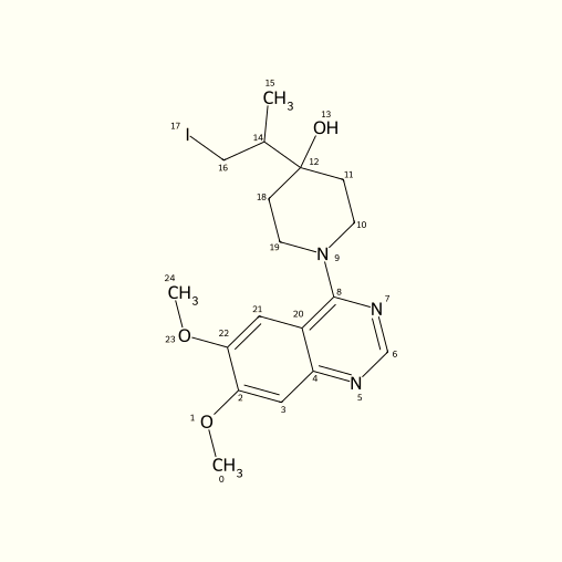 COc1cc2ncnc(N3CCC(O)(C(C)CI)CC3)c2cc1OC